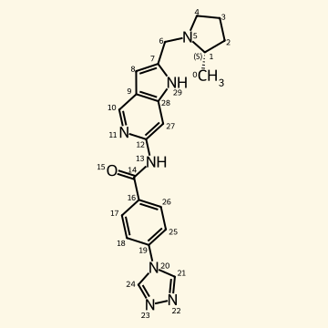 C[C@H]1CCCN1Cc1cc2cnc(NC(=O)c3ccc(-n4cnnc4)cc3)cc2[nH]1